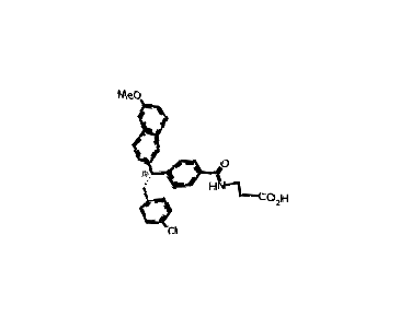 COc1ccc2cc([C@@H](Cc3ccc(Cl)cc3)c3ccc(C(=O)NCCC(=O)O)cc3)ccc2c1